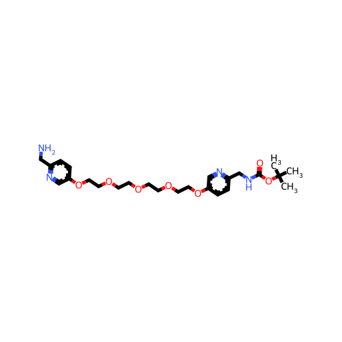 CC(C)(C)OC(=O)NCc1ccc(OCCOCCOCCOCCOc2ccc(CN)nc2)cn1